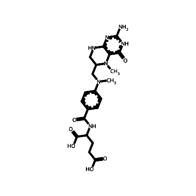 CN(CC1CNc2nc(N)[nH]c(=O)c2N1C)c1ccc(C(=O)NC(CCC(=O)O)C(=O)O)cc1